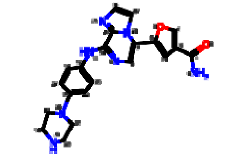 NC(=O)c1coc(-c2cnc(Nc3ccc(N4CCNCC4)cc3)c3nccn23)c1